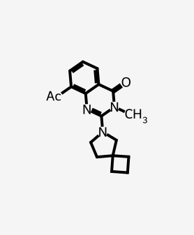 CC(=O)c1cccc2c(=O)n(C)c(N3CCC4(CCC4)C3)nc12